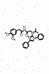 COc1ccc(CC(=O)NC(=O)CN(c2nc(-c3ccccc3)cn2-c2ccccc2)C(C)C)cc1OC